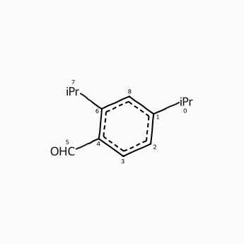 CC(C)c1ccc(C=O)c(C(C)C)c1